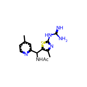 CC(=O)NC(c1cc(C)ccn1)c1sc(NC(=N)N)nc1C